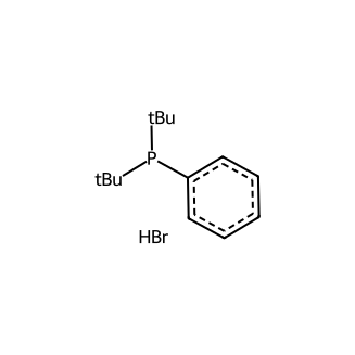 Br.CC(C)(C)P(c1ccccc1)C(C)(C)C